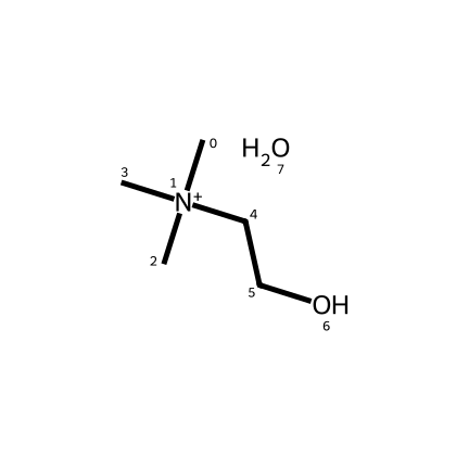 C[N+](C)(C)CCO.O